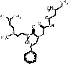 CC[C@@H](N)CC(=O)NC(=O)C[C@@H](CCc1ccccc1)C(=O)N(C)CCN(C)CCN(C)C